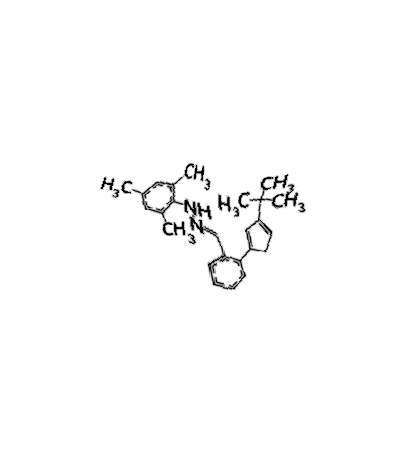 Cc1cc(C)c(NN=Cc2ccccc2C2=CC(C(C)(C)C)=CC2)c(C)c1